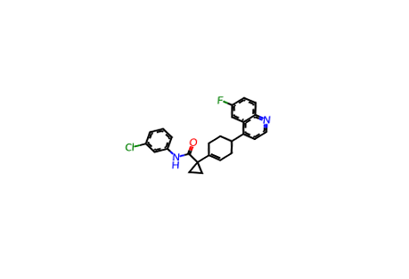 O=C(Nc1cccc(Cl)c1)C1(C2=CCC(c3ccnc4ccc(F)cc34)CC2)CC1